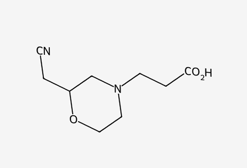 N#CCC1CN(CCC(=O)O)CCO1